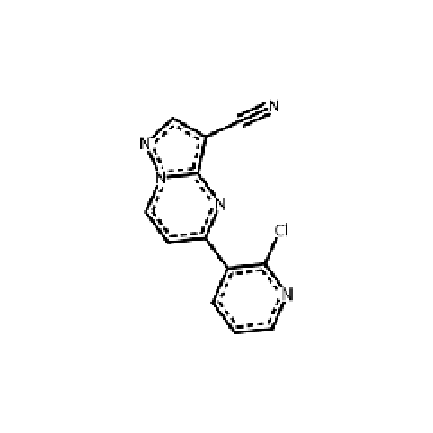 N#Cc1cnn2ccc(-c3cccnc3Cl)nc12